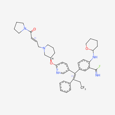 N=C(F)c1cc(/C(=C(\CC(F)(F)F)c2ccccc2)c2ccc(O[C@@H]3CCCN(C/C=C/C(=O)N4CCCC4)C3)nc2)ccc1NC1CCCCO1